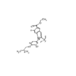 CCOC(=O)c1cc2cc(C(F)(F)F)n(-c3cnc(OCC(C)C)c(Cl)c3)c2cc1F